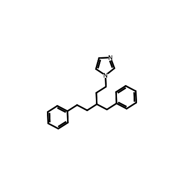 c1ccc(CCC(CCn2ccnc2)Cc2ccccc2)cc1